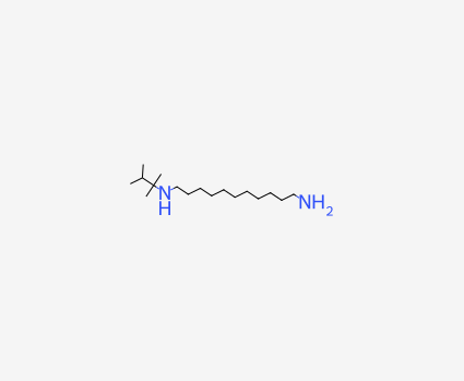 CC(C)C(C)(C)NCCCCCCCCCCCN